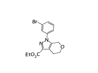 CCOC(=O)c1nn(-c2cccc(Br)c2)c2c1CCOC2